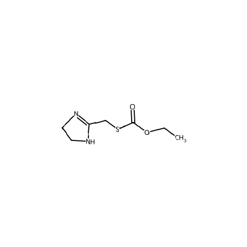 CCOC(=O)SCC1=NCCN1